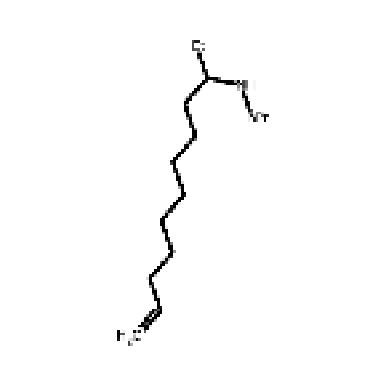 C=CCCCCCCCC(CC)NCCC